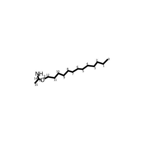 CCCCCCCCCCCCCOC(C)N